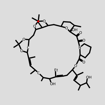 CC/C1=C\CC(/C(C)=C/C(C)C(C)O)OC(=O)C2CCCCN2C(=O)C(=O)C2(O)OC(CCC2C)CC2OC(C)(C)OC(CC3CC(OC(C)(C)O3)/C(C)=C/C(C)CC(C)C1O)C2C